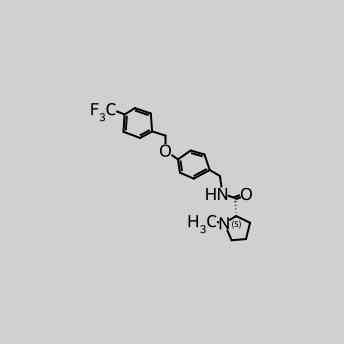 CN1CCC[C@H]1C(=O)NCc1ccc(OCc2ccc(C(F)(F)F)cc2)cc1